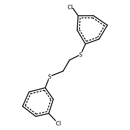 Clc1cccc(SCCSc2cccc(Cl)c2)c1